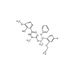 COc1ccnc(C(=O)N[C@@H](C)C(=O)O[C@@H](C)[C@H](Oc2ccccc2)c2ccc(F)cc2OCC2CC2)c1O